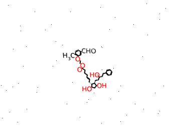 Cc1ccc(C=O)cc1OCCOC(=O)CCCC=CC[C@@H]1[C@@H](CC[C@@H](O)CCc2ccccc2)[C@H](O)C[C@@H]1O